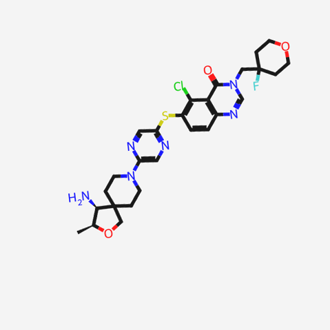 C[C@@H]1OCC2(CCN(c3cnc(Sc4ccc5ncn(CC6(F)CCOCC6)c(=O)c5c4Cl)cn3)CC2)[C@@H]1N